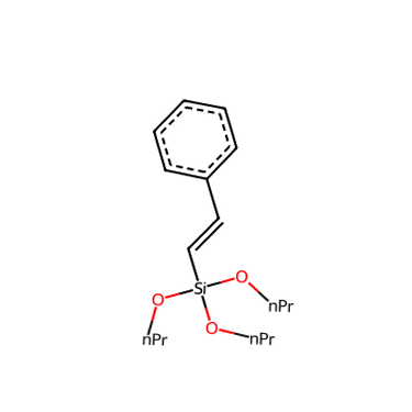 CCCO[Si](C=Cc1ccccc1)(OCCC)OCCC